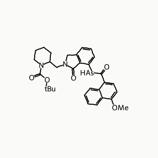 COc1ccc(C(=O)[AsH]c2cccc3c2C(=O)N(CC2CCCCN2C(=O)OC(C)(C)C)C3)c2ccccc12